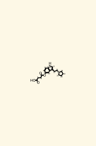 O=C(O)CCC(=O)Oc1ccc2[nH]cc(CCN3CCCC3)c2c1